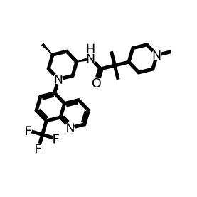 C[C@H]1C[C@@H](NC(=O)C(C)(C)C2CCN(C)CC2)CN(c2ccc(C(F)(F)F)c3ncccc23)C1